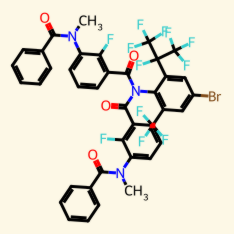 CN(C(=O)c1ccccc1)c1cccc(C(=O)N(C(=O)c2cccc(N(C)C(=O)c3ccccc3)c2F)c2c(C(F)(F)F)cc(Br)cc2C(F)(C(F)(F)F)C(F)(F)F)c1F